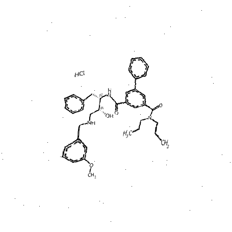 CCCN(CCC)C(=O)c1cc(C(=O)N[C@@H](Cc2ccccc2)[C@H](O)CNCc2cccc(OC)c2)cc(-c2ccccc2)c1.Cl